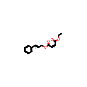 CCOC(=O)/C=C\C(=O)OC/C=C/c1ccccc1